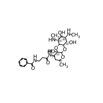 CN[C@@H]1[C@H](O)[C@H](NC)C2O[C@]3(O)C(OC2[C@H]1O)O[C@H](C)C[C@H]3NC(=O)CCNC(=O)c1ccccc1